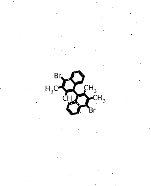 Cc1c(C)c(-c2c(C)c(C)c(Br)c3ccccc23)c2ccccc2c1Br